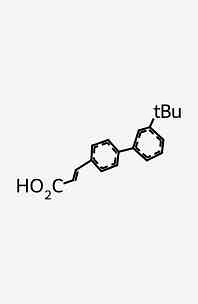 CC(C)(C)c1cccc(-c2ccc(/C=C/C(=O)O)cc2)c1